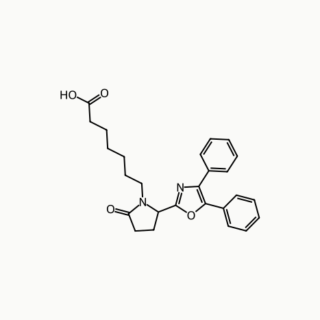 O=C(O)CCCCCCN1C(=O)CCC1c1nc(-c2ccccc2)c(-c2ccccc2)o1